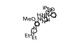 CCC(CC)N1CCN(c2ccc(Nc3ncnc(Nc4ccccc4S(=O)(=O)C(C)C)n3)c(OC)c2)CC1